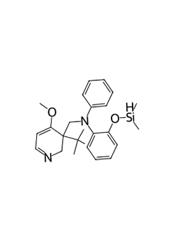 COC1=CC=NCC1(CN(c1ccccc1)c1ccccc1O[SiH](C)C)C(C)(C)C